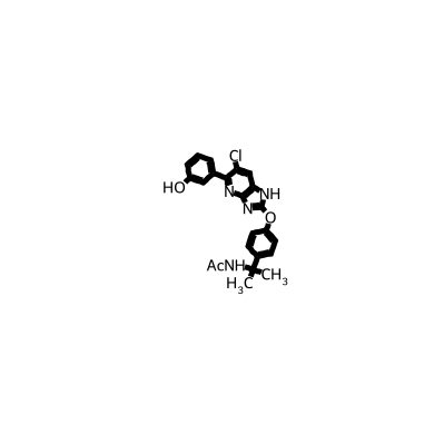 CC(=O)NC(C)(C)c1ccc(Oc2nc3nc(-c4cccc(O)c4)c(Cl)cc3[nH]2)cc1